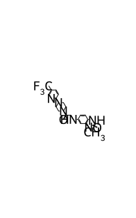 Cn1c(=O)[nH]c2ccc(NCC(=O)N3CCN(c4ccc(C(F)(F)F)cn4)CC3)cc21